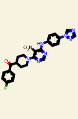 O=C(c1ccc(F)cc1)C1CCN(c2ncnc(Nc3ccc(-n4cncn4)cc3)c2[N+](=O)[O-])CC1